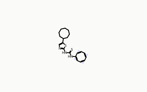 S=C(NC1=C/C=C\C=C/C=C\1)Nc1ncc(C2CCCCCCC2)s1